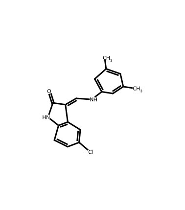 Cc1cc(C)cc(N/C=C2/C(=O)Nc3ccc(Cl)cc32)c1